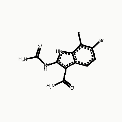 Cc1c(Br)ccc2c(C(N)=O)c(NC(N)=O)[nH]c12